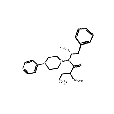 CC(=O)N[C@@H](CC(=O)O)C(=O)N([C@@H](Cc1ccccc1)C(=O)O)N1CCN(c2ccncc2)CC1